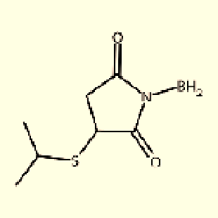 BN1C(=O)CC(SC(C)C)C1=O